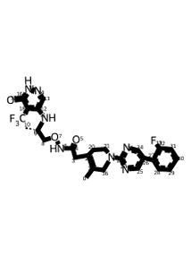 CC1=C(CC(=O)NOC[C@H](C)Nc2cn[nH]c(=O)c2C(F)(F)F)CCN(c2ncc(-c3ccccc3F)cn2)C1